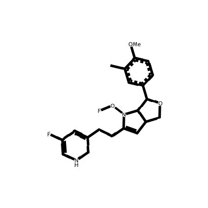 COc1ccc(C2OCC3C=C(CCC4=CC(F)=CNC4)N(OF)C32)cc1C